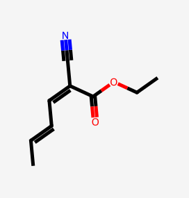 CC=CC=C(C#N)C(=O)OCC